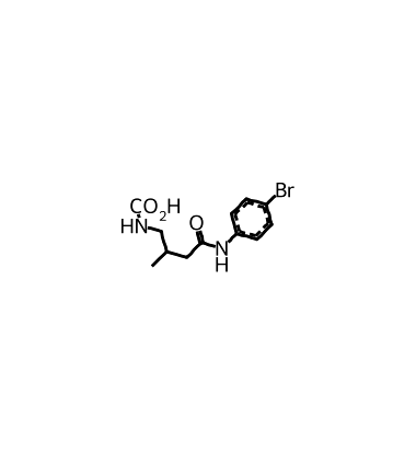 CC(CNC(=O)O)CC(=O)Nc1ccc(Br)cc1